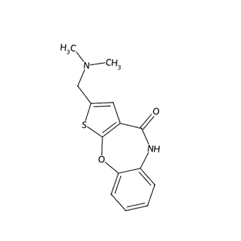 CN(C)Cc1cc2c(s1)Oc1ccccc1NC2=O